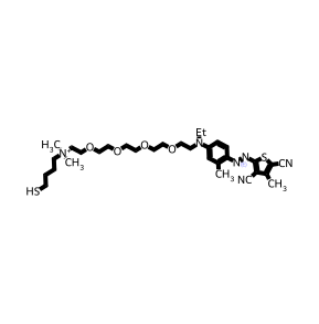 CCN(CCOCCOCCOCCOCC[N+](C)(C)CCCCS)c1ccc(/N=N/c2sc(C#N)c(C)c2C#N)c(C)c1